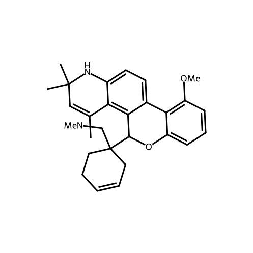 CNCC1(C2Oc3cccc(OC)c3-c3ccc4c(c32)C(C)=CC(C)(C)N4)CC=CCC1